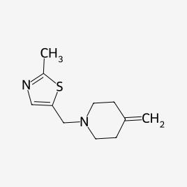 C=C1CCN(Cc2cnc(C)s2)CC1